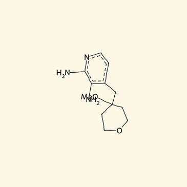 COC1(Cc2ccnc(N)c2N)CCOCC1